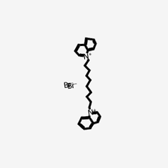 [Br-].[Br-].c1ccc2c(c1)ccc[n+]2CCCCCCCCCC[n+]1cccc2ccccc21